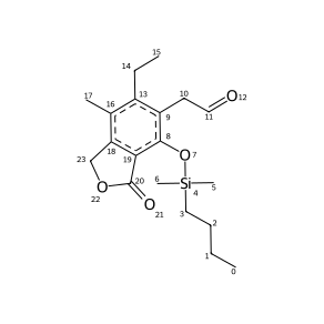 CCCC[Si](C)(C)Oc1c(CC=O)c(CC)c(C)c2c1C(=O)OC2